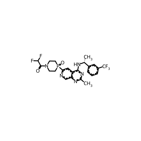 Cc1nc(N[C@H](C)c2cccc(C(F)(F)F)c2)c2cc(P3(=O)CCN(C(=O)C(F)F)CC3)ncc2n1